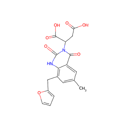 Cc1cc(Cc2ccco2)c2[nH]c(=O)n(C(CC(=O)O)C(=O)O)c(=O)c2c1